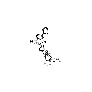 CC1(C)COP(=O)(Cc2ccc(C(=O)Nc3cc(-c4cccs4)ccc3N)cc2)OC1